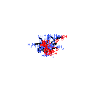 CC(C)C[C@H](NC(=O)[C@H](C)NC(=O)[C@H](CCCCN)NC(=O)[C@@H](N)CCC(=O)O)C(=O)N[C@@H](CCC(N)=O)C(=O)N[C@@H](CCC(=O)O)C(=O)N[C@@H](Cc1ccc(O)cc1)C(=O)N[C@@H](CCCNC(=N)N)C(=O)N[C@@H](CCCCN)C(=O)N[C@@H](CCCCN)C(=O)N[C@@H](Cc1c[nH]cn1)C(=O)N[C@@H](CCCNC(=N)N)C(=O)N[C@@H](CCC(=O)O)C(=O)N[C@@H](CCC(=O)O)C(=O)O